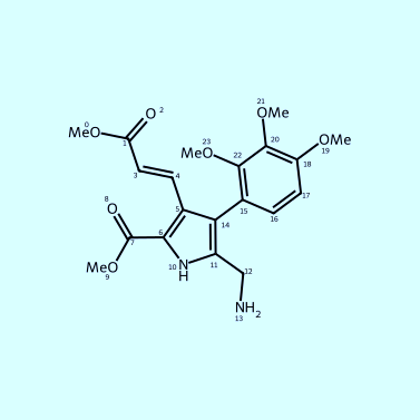 COC(=O)C=Cc1c(C(=O)OC)[nH]c(CN)c1-c1ccc(OC)c(OC)c1OC